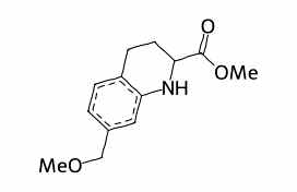 COCc1ccc2c(c1)NC(C(=O)OC)CC2